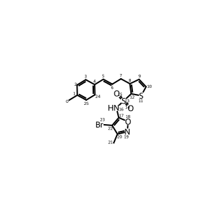 Cc1ccc(C=CCc2ccsc2S(=O)(=O)Nc2onc(C)c2Br)cc1